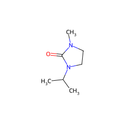 CC(C)N1CCN(C)C1=O